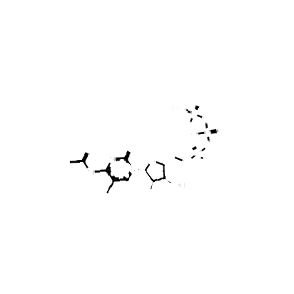 CC(=O)Nc1nc(=O)n([C@@H]2O[C@H](COP(=O)(O)OP(=O)(O)OP(=O)(O)O)[C@@H](O)[C@H]2O)cc1C